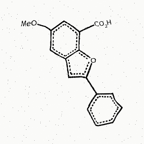 COc1cc(C(=O)O)c2oc(-c3ccccc3)cc2c1